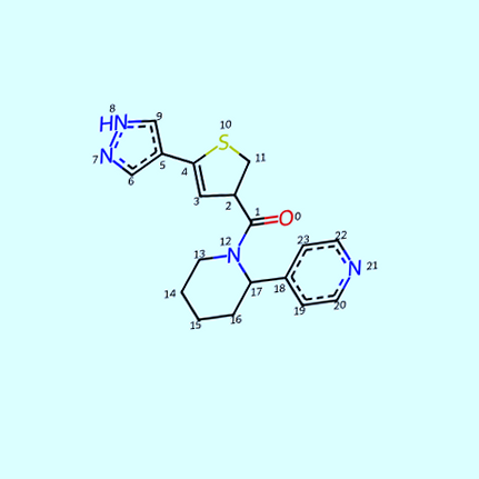 O=C(C1C=C(c2cn[nH]c2)SC1)N1CCCCC1c1ccncc1